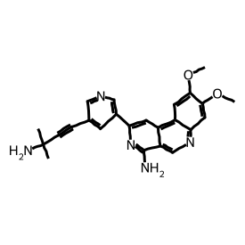 COc1cc2ncc3c(N)nc(-c4cncc(C#CC(C)(C)N)c4)cc3c2cc1OC